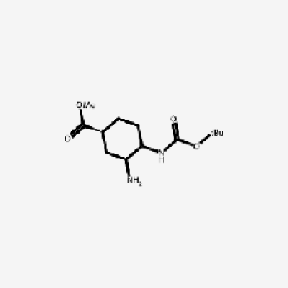 COC(=O)[C@H]1CCC(NC(=O)OC(C)(C)C)C(N)C1